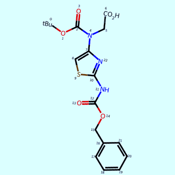 CC(C)(C)OC(=O)N(CC(=O)O)c1csc(NC(=O)OCc2ccccc2)n1